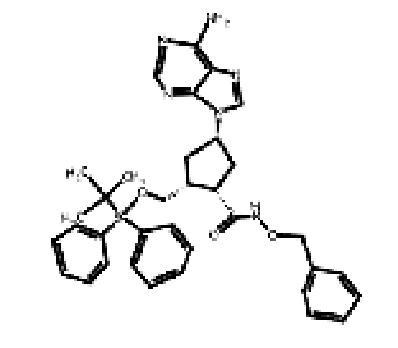 CC(C)(C)[Si](OC[C@@H]1C[C@@H](n2cnc3c(N)ncnc32)C[C@@H]1C(=O)NOCc1ccccc1)(c1ccccc1)c1ccccc1